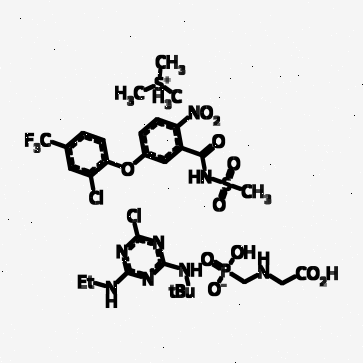 CCNc1nc(Cl)nc(NC(C)(C)C)n1.CS(=O)(=O)NC(=O)c1cc(Oc2ccc(C(F)(F)F)cc2Cl)ccc1[N+](=O)[O-].C[S+](C)C.O=C(O)CNCP(=O)([O-])O